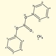 C.O=C(Oc1ccccc1)Oc1ccccc1